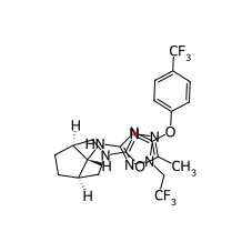 Cc1nnc(N2C[C@H]3CC[C@@H](C2)[C@@H]3Nc2nc(Oc3ccc(C(F)(F)F)cc3)n(CC(F)(F)F)n2)o1